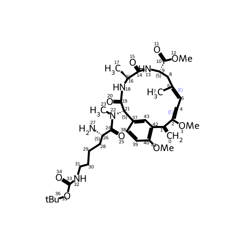 C=C1/C(OC)=C\C=C(/C)C[C@@H](C(=O)OC)NC(=O)[C@H](C)NC(=O)[C@@H](N(C)C(=O)[C@@H](N)CCCCNC(=O)OC(C)(C)C)c2ccc(OC)c1c2